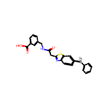 O=C(Cc1nc2ccc(Bc3ccccc3)cc2s1)NCc1cccc(C(=O)O)c1